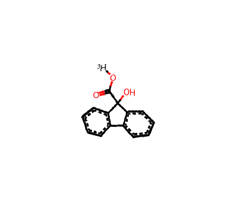 [3H]OC(=O)C1(O)c2ccccc2-c2ccccc21